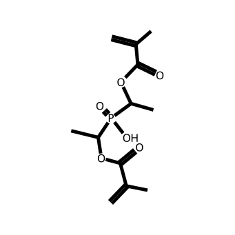 C=C(C)C(=O)OC(C)P(=O)(O)C(C)OC(=O)C(=C)C